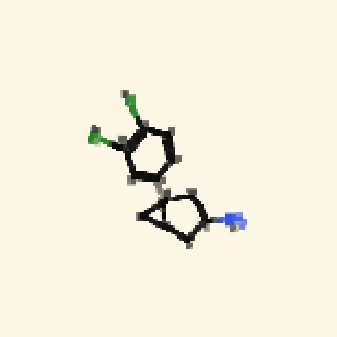 NC1CC2C[C@@]2(c2ccc(Cl)c(Cl)c2)C1